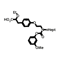 CCCCCCCN(CCOc1ccc(CC(OCC)C(=O)O)cc1)C(=O)Oc1cccc(OC)c1